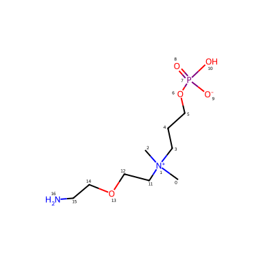 C[N+](C)(CCCOP(=O)([O-])O)CCOCCN